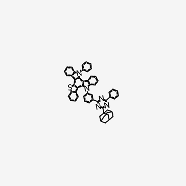 c1ccc(-c2nc(-c3cccc(-n4c5ccccc5c5c6c(c7ccccc7n6-c6ccccc6)c6sc7ccccc7c6c54)c3)nc(C34CC5CC(CC(C5)C3)C4)n2)cc1